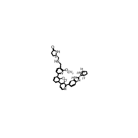 COc1nc(-c2cccc(-c3ccnc(-c4ccc5nc([C@H]6N[C@H]7CC[C@@H]6C7)[nH]c5c4)c3Cl)c2Cl)ccc1CNC[C@H]1CCC(=O)N1